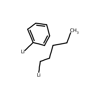 [Li][CH2]CCCC.[Li][c]1ccccc1